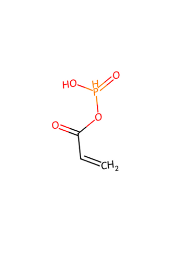 C=CC(=O)O[PH](=O)O